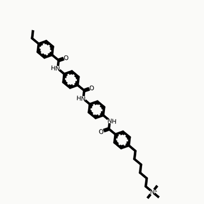 CCc1ccc(C(=O)Nc2ccc(C(=O)Nc3ccc(NC(=O)c4ccc(CCCCCC[N+](C)(C)C)cc4)cc3)cc2)cc1